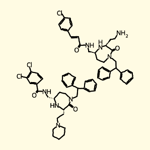 NCC[C@@H]1N[C@H](CNC(=O)/C=C/c2ccc(Cl)cc2)CCN(CC(c2ccccc2)c2ccccc2)C1=O.O=C(NC[C@@H]1CCN(CC(c2ccccc2)c2ccccc2)C(=O)[C@H](CCN2CCCCC2)N1)c1ccc(Cl)c(Cl)c1